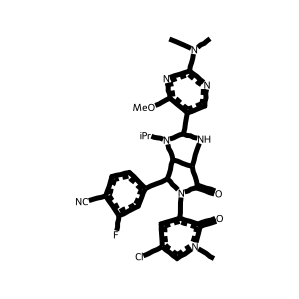 COc1nc(N(C)C)ncc1C1NC2C(=O)N(c3cc(Cl)cn(C)c3=O)C(c3ccc(C#N)c(F)c3)C2N1C(C)C